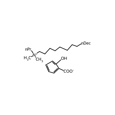 CCCCCCCCCCCCCCCCCC[N+](C)(C)CCC.O=C([O-])c1ccccc1O